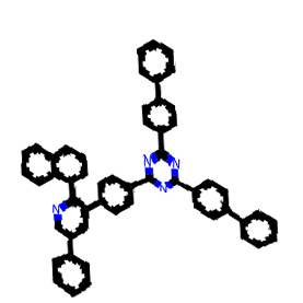 c1ccc(-c2ccc(-c3nc(-c4ccc(-c5ccccc5)cc4)nc(-c4ccc(-c5cc(-c6ccccc6)cnc5-c5cccc6ccccc56)cc4)n3)cc2)cc1